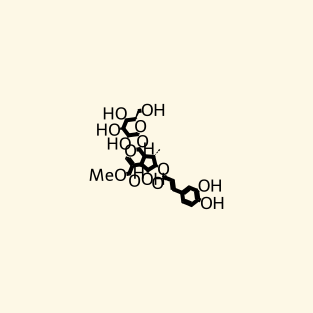 COC(=O)C1=CO[C@@H](O[C@@H]2O[C@H](CO)[C@@H](O)[C@H](O)[C@H]2O)[C@@H]2[C@H](C)[C@@H](OC(=O)/C=C/c3ccc(O)c(O)c3)[C@@H](O)[C@H]12